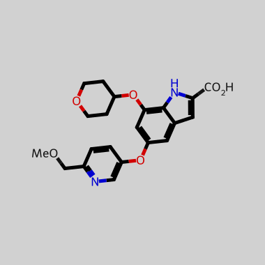 COCc1ccc(Oc2cc(OC3CCOCC3)c3[nH]c(C(=O)O)cc3c2)cn1